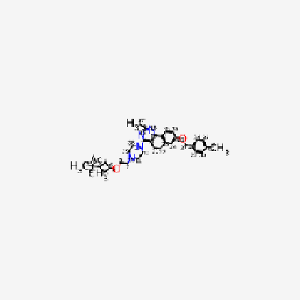 CC(=O)C(C)(C)C1CC(OCCN2CCN(c3nc(C)nc4c3CCc3cc(OCc5ccc(C)cc5)ccc3-4)CC2)C1